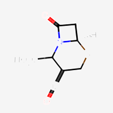 O=C=C1CS[C@@H]2CC(=O)N2C1C(=O)O